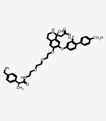 CC(C)Cc1ccc([C@H](C)C(=O)NCCOCCOCCOc2cc3c(cc2Oc2ccc(-c4ccc(C(=O)O)cc4)c(F)c2)[C@@](C)(CC(N)=O)NCC3)cc1